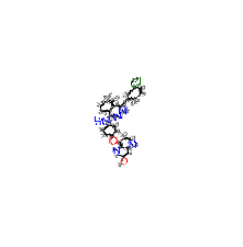 COc1cnc2c(Oc3ccc(Nc4nnc(-c5cccc(Cl)c5)c5ccccc45)cc3)ccnc2c1